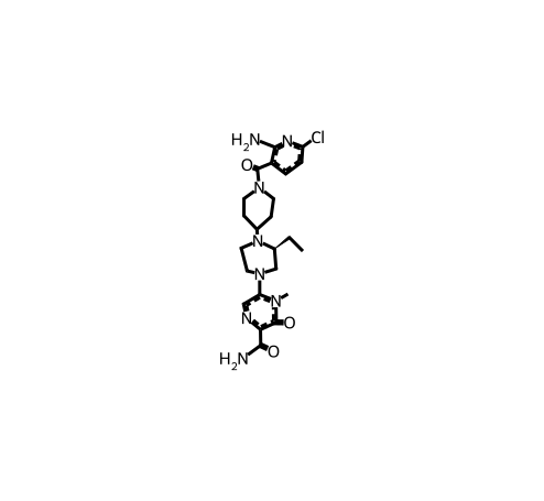 CC[C@H]1CN(c2cnc(C(N)=O)c(=O)n2C)CCN1C1CCN(C(=O)c2ccc(Cl)nc2N)CC1